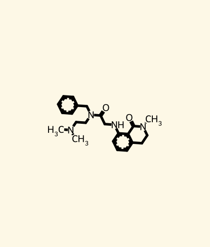 CN(C)CCN(Cc1ccccc1)C(=O)CNc1cccc2c1C(=O)N(C)CC2